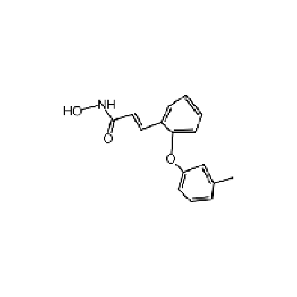 Cc1cccc(Oc2ccccc2C=CC(=O)NO)c1